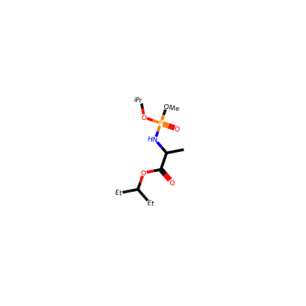 CCC(CC)OC(=O)C(C)NP(=O)(OC)OC(C)C